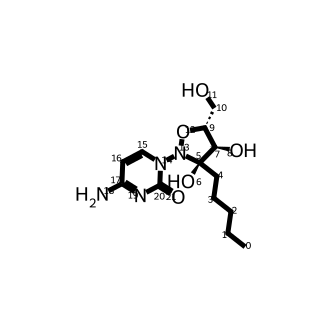 CCCCC[C@@]1(O)[C@H](O)[C@@H](CO)ON1n1ccc(N)nc1=O